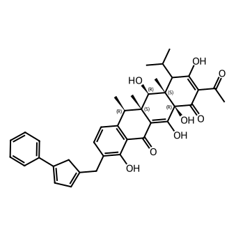 CC(=O)C1=C(O)C(C(C)C)[C@@]2(C)[C@H](O)[C@]3(C)C(=C(O)[C@@]2(O)C1=O)C(=O)c1c(ccc(CC2=CC=C(c4ccccc4)C2)c1O)[C@H]3C